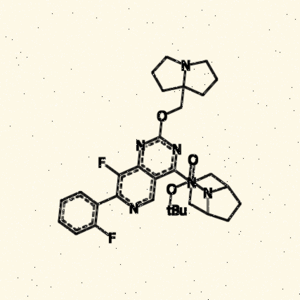 CC(C)(C)OC(=O)N1C2CCC1CN(c1nc(OCC34CCCN3CCC4)nc3c(F)c(-c4ccccc4F)ncc13)C2